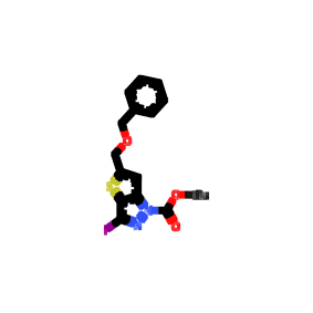 CC(C)(C)OC(=O)n1nc(I)c2sc(COCc3ccccc3)cc21